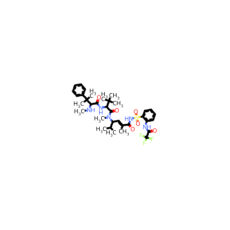 CNC(C(=O)NC(C(=O)N(C)C(C=C(C)C(=O)NS(=O)(=O)c1ccccc1NC(=O)C(F)(F)F)C(C)C)C(C)(C)C)C(C)(C)c1ccccc1